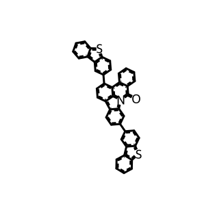 O=c1c2ccccc2c2c(-c3ccc4sc5ccccc5c4c3)ccc3c4ccc(-c5ccc6sc7ccccc7c6c5)cc4n1c32